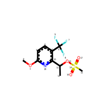 COc1ccc(C(F)(F)F)c(C(C)OS(C)(=O)=O)n1